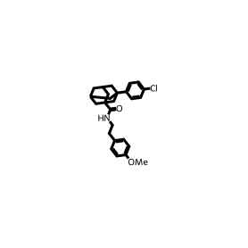 COc1ccc(CCNC(=O)C23CC4CC(C2)CC(c2ccc(Cl)cc2)(C4)C3)cc1